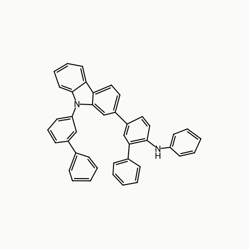 c1ccc(Nc2ccc(-c3ccc4c5ccccc5n(-c5cccc(-c6ccccc6)c5)c4c3)cc2-c2ccccc2)cc1